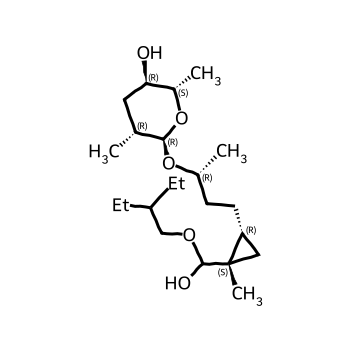 CCC(CC)COC(O)[C@@]1(C)C[C@H]1CC[C@@H](C)O[C@@H]1O[C@@H](C)[C@H](O)C[C@H]1C